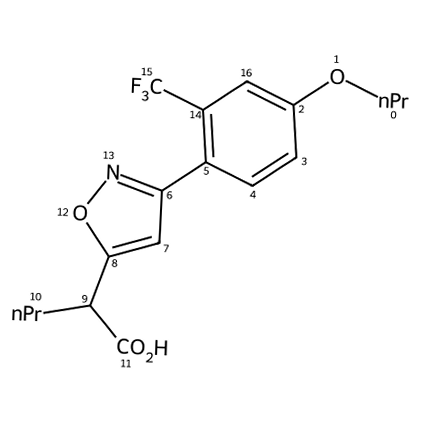 CCCOc1ccc(-c2cc(C(CCC)C(=O)O)on2)c(C(F)(F)F)c1